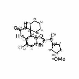 CO[C@H]1CCN(C(=O)c2nc3cc(Cl)c4c(c3o2)C2(CCCCC2)NC(=O)N4)C1